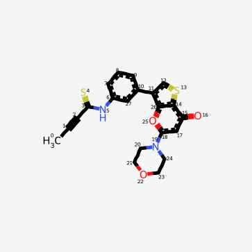 CC#CC(=S)Nc1cccc(-c2csc3c(=O)cc(N4CCOCC4)oc23)c1